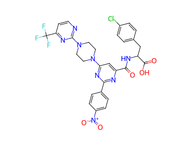 O=C(NC(Cc1ccc(Cl)cc1)C(=O)O)c1cc(N2CCN(c3nccc(C(F)(F)F)n3)CC2)nc(-c2ccc([N+](=O)[O-])cc2)n1